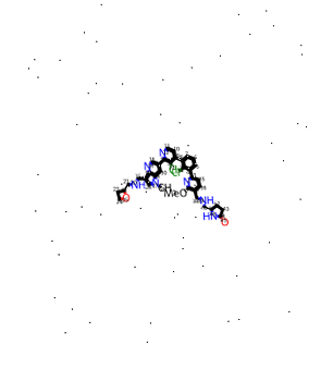 COc1nc(-c2cccc(-c3ccnc(-c4cnc5c(CNC[C@@H]6CCO6)cn(C)c5c4)c3Cl)c2Cl)ccc1CNC[C@H]1CCC(=O)N1